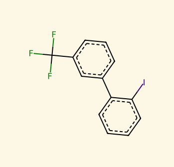 FC(F)(F)c1cccc(-c2ccccc2I)c1